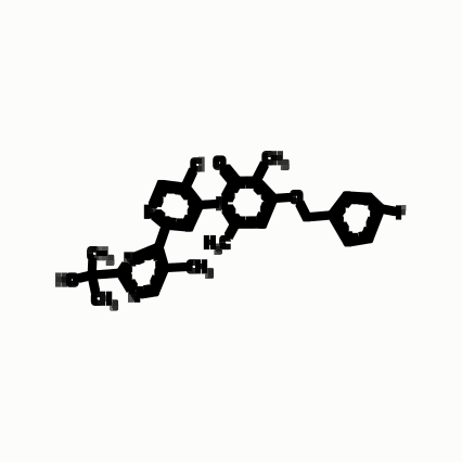 Cc1cnc(C(C)(C)O)nc1-c1cc(-n2c(C)cc(OCc3ccc(F)cc3)c(C)c2=O)c(Cl)cn1